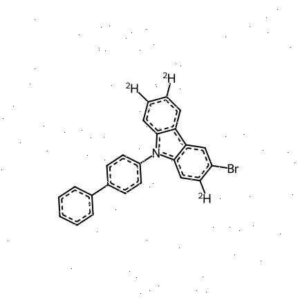 [2H]c1cc2c3cc(Br)c([2H])cc3n(-c3ccc(-c4ccccc4)cc3)c2cc1[2H]